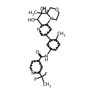 Cc1ccc(NC(=O)c2ccnc(C(C)(F)F)c2)cc1-c1cnc2c(c1)N1CCOC[C@H]1C(C)(C)[C@@H]2O